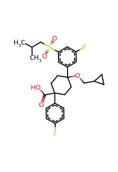 CC(C)CS(=O)(=O)c1cc(F)cc(C2(OCC3CC3)CCC(C(=O)O)(c3ccc(F)cc3)CC2)c1